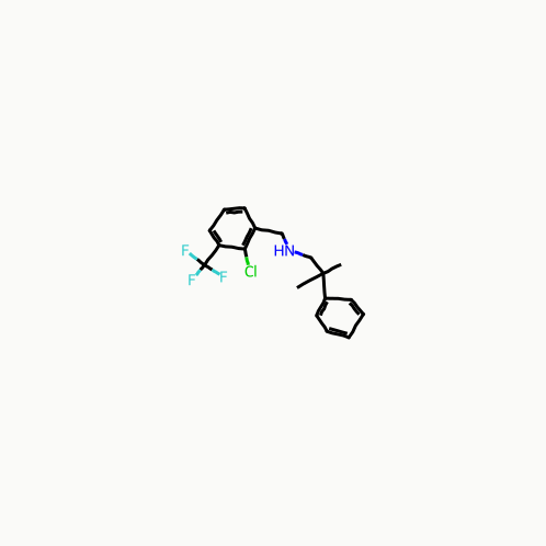 CC(C)(CNCc1cccc(C(F)(F)F)c1Cl)c1ccccc1